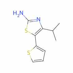 CC(C)c1nc(N)sc1-c1cccs1